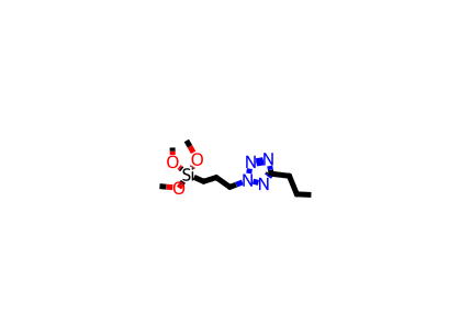 CCCc1nnn(CCC[Si](OC)(OC)OC)n1